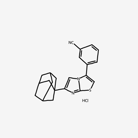 Cl.N#Cc1cccc(-c2csc3nc(C45CC6CC(CC(C6)C4)C5)cn23)c1